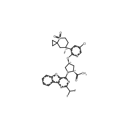 CC(=O)[C@@H]1C[C@H](Oc2ncc(Cl)cc2[C@]2(F)CCS(=O)(=O)C3(CC3)C2)CN1c1nc(C(F)F)nc2c1oc1ccccc12